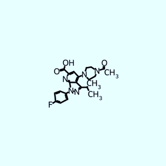 CC(=O)N1CCN(c2cc(C(=O)O)nc3c2c(C(C)C)nn3-c2ccc(F)cc2)CC1